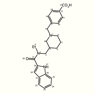 CCN(CC1CCCN(Cc2ccc(C(=O)O)cc2)C1)C(=O)c1cc2ccccc2[nH]1